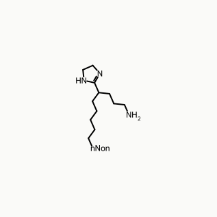 CCCCCCCCCCCCCCC(CCCN)C1=NCCN1